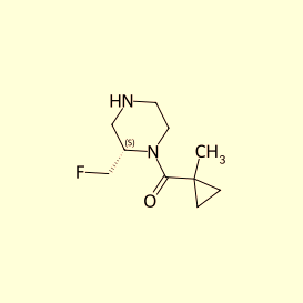 CC1(C(=O)N2CCNC[C@H]2CF)CC1